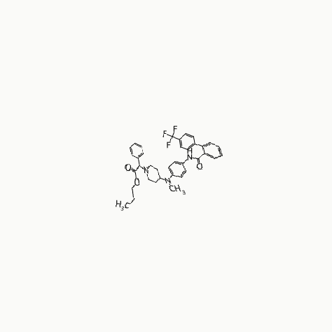 CCCOC(=O)C(c1ccccc1)N1CCC(N(C)c2ccc(NC(=O)c3ccccc3-c3ccc(C(F)(F)F)cc3)cc2)CC1